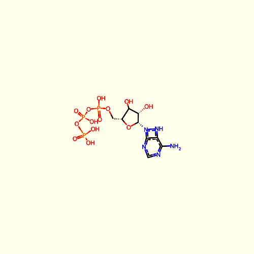 Nc1ncnc2c1[nH]n2[C@@H]1O[C@H](COP(=O)(O)OP(=O)(O)OP(=O)(O)O)C(O)[C@@H]1O